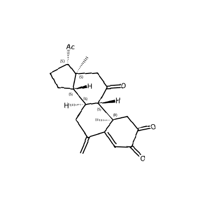 C=C1C[C@H]2[C@@H]3CC[C@H](C(C)=O)[C@@]3(C)CC(=O)[C@@H]2[C@@]2(C)CC(=O)C(=O)C=C12